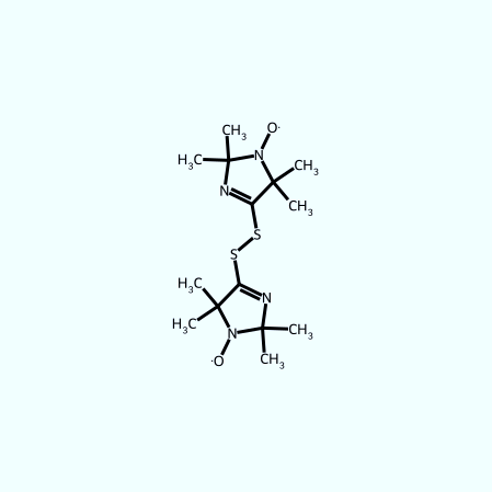 CC1(C)N=C(SSC2=NC(C)(C)N([O])C2(C)C)C(C)(C)N1[O]